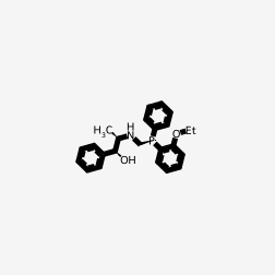 CCOc1ccccc1[P@@](CN[C@@H](C)[C@H](O)c1ccccc1)c1ccccc1